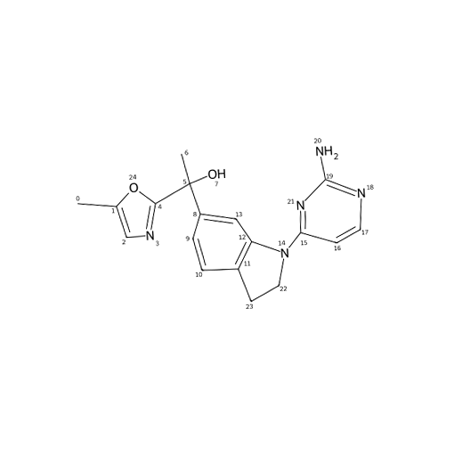 Cc1cnc(C(C)(O)c2ccc3c(c2)N(c2ccnc(N)n2)CC3)o1